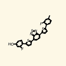 Cc1ccc(-c2ccc(-c3ccc(-c4ccc(-c5ccc(O)cc5F)s4)c4nsnc34)s2)c(F)c1